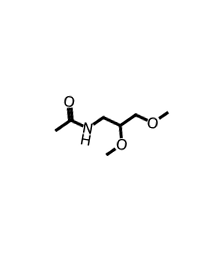 COCC(CNC(C)=O)OC